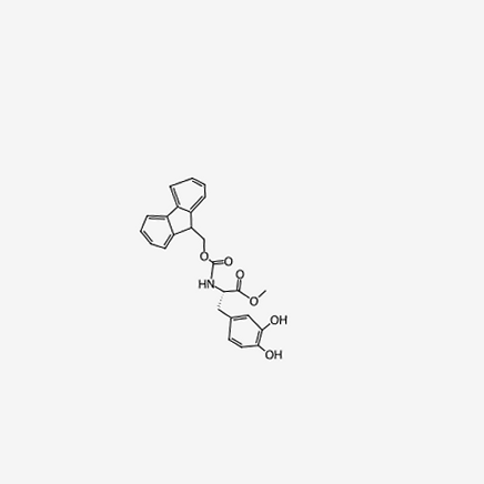 COC(=O)[C@H](Cc1ccc(O)c(O)c1)NC(=O)OCC1c2ccccc2-c2ccccc21